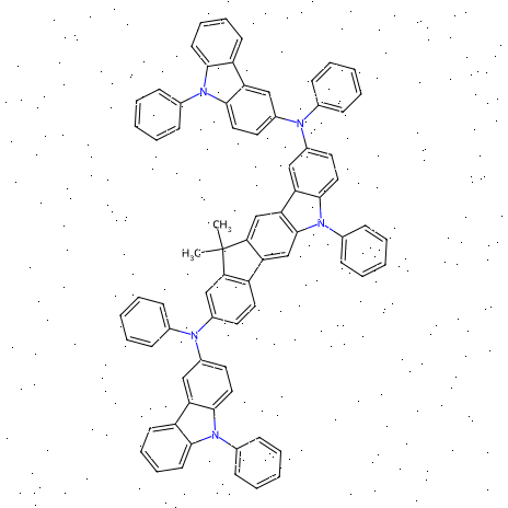 CC1(C)c2cc(N(c3ccccc3)c3ccc4c(c3)c3ccccc3n4-c3ccccc3)ccc2-c2cc3c(cc21)c1cc(N(c2ccccc2)c2ccc4c(c2)c2ccccc2n4-c2ccccc2)ccc1n3-c1ccccc1